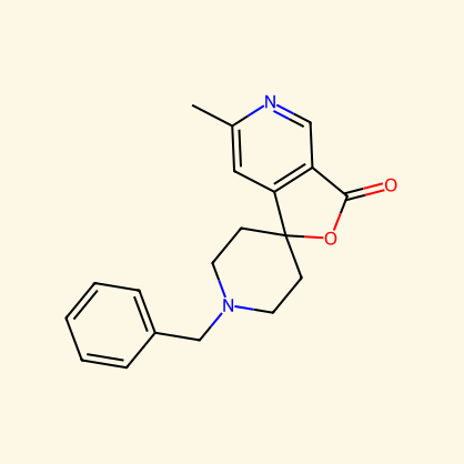 Cc1cc2c(cn1)C(=O)OC21CCN(Cc2ccccc2)CC1